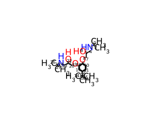 CC(C)NCC(O)COc1ccc(C(C)(C)C)cc1OCC(O)CNC(C)C